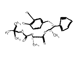 C[C@H](NC(=O)OC(C)(C)C)C(=O)O[C@@H](C)[C@H](Cc1ccc(Cl)c(Cl)c1)c1ccccc1